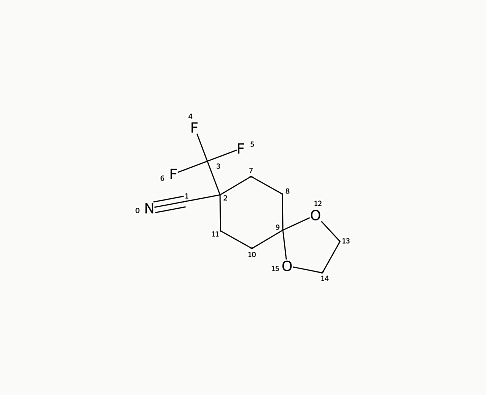 N#CC1(C(F)(F)F)CCC2(CC1)OCCO2